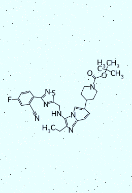 CCc1nc2ccc(C3CCN(C(=O)OC(C)(C)C)CC3)cn2c1NCc1nc(-c2ccc(F)cc2C#N)ns1